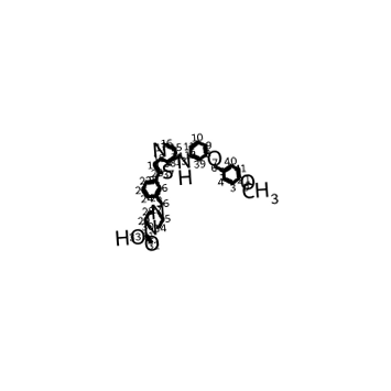 COc1ccc(COc2cccc(Nc3ccnc4cc(-c5cccc(CN6CCN(C(=O)O)CC6)c5)sc34)c2)cc1